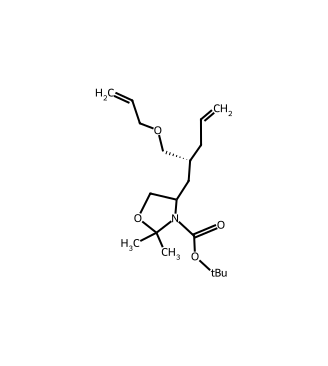 C=CCOC[C@H](CC=C)CC1COC(C)(C)N1C(=O)OC(C)(C)C